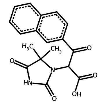 CC1(C)C(=O)NC(=O)N1C(C(=O)O)C(=O)c1ccc2ccccc2c1